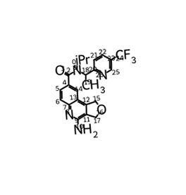 CC(C)N(C(=O)c1ccc2nc(N)c3c(c2c1)COC3)C(C)c1ccc(C(F)(F)F)cn1